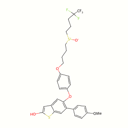 COc1ccc(-c2cc3sc(O)cc3cc2Oc2ccc(OCCCC[S+]([O-])CCCC(F)(F)C(F)(F)F)cc2)cc1